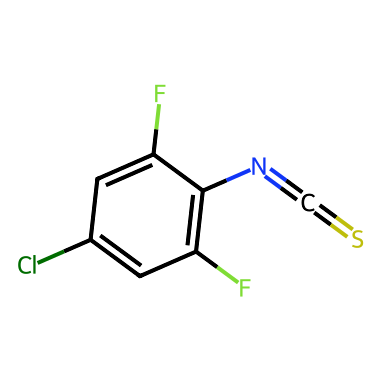 Fc1cc(Cl)cc(F)c1N=C=S